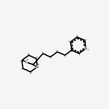 c1cncc(CCCCC2CC3CCN2CC3)c1